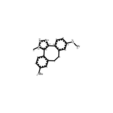 CCCCc1ccc2c(c1)CCc1cc(OC(C)C)ccc1-c1nnn(C)c1-2